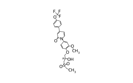 CCS(=O)(=O)C[C@H](O)COc1ccc(-n2ccc(-c3ccc(OC(F)(F)F)cc3)cc2=O)cc1OC